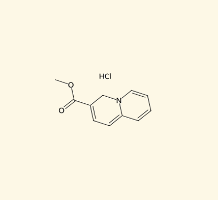 COC(=O)C1=CC=C2C=CC=CN2C1.Cl